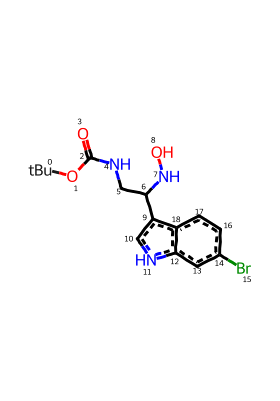 CC(C)(C)OC(=O)NCC(NO)c1c[nH]c2cc(Br)ccc12